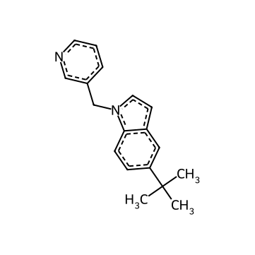 CC(C)(C)c1ccc2c(ccn2Cc2cccnc2)c1